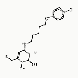 O[C@@H]1[C@@H](O)[C@@H](O)C(CF)=C[C@H]1NCCCCCOc1ccc(Cl)cc1